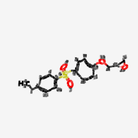 CCc1ccc(S(=O)(=O)c2ccc(OCC3CO3)cc2)cc1